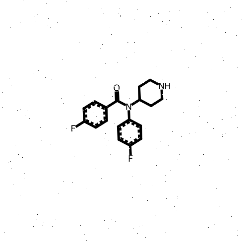 O=C(c1ccc(F)cc1)N(c1ccc(F)cc1)C1CCNCC1